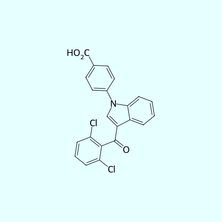 O=C(O)c1ccc(-n2cc(C(=O)c3c(Cl)cccc3Cl)c3ccccc32)cc1